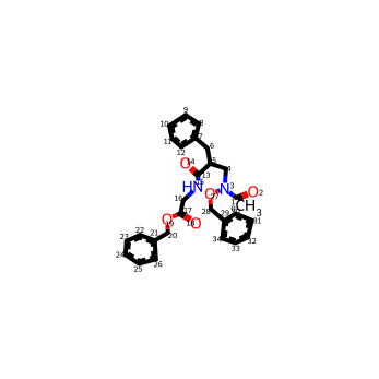 CC(=O)N(CC(Cc1ccccc1)C(=O)NCC(=O)OCc1ccccc1)OCc1ccccc1